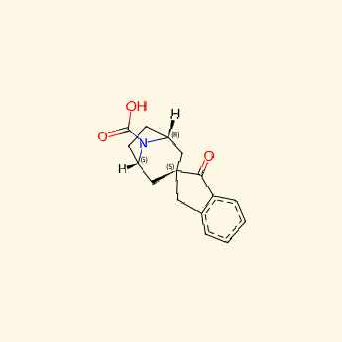 O=C(O)N1[C@@H]2CC[C@H]1C[C@@]1(Cc3ccccc3C1=O)C2